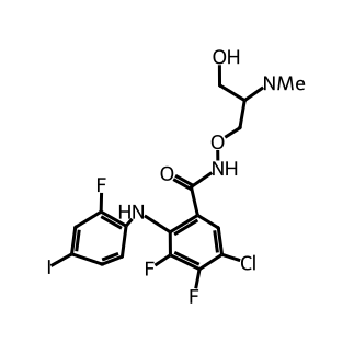 CNC(CO)CONC(=O)c1cc(Cl)c(F)c(F)c1Nc1ccc(I)cc1F